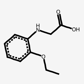 CCOc1ccccc1NCC(=O)O